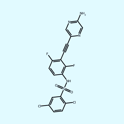 Nc1cnc(C#Cc2c(F)ccc(NS(=O)(=O)c3cc(Cl)ccc3Cl)c2F)cn1